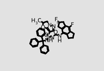 CC1Cn2ncc(S(=O)(=NC(=O)Nc3c4c(c(F)c5c3C[C@@H](F)C5)CCC4)NC(c3ccccc3)(c3ccccc3)c3ccccc3)c2O1